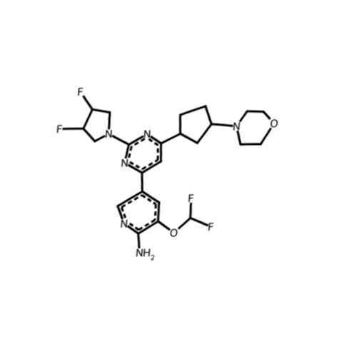 Nc1ncc(-c2cc(C3CCC(N4CCOCC4)C3)nc(N3CC(F)C(F)C3)n2)cc1OC(F)F